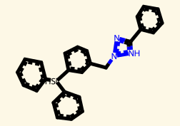 c1ccc(-c2nn(Cc3cccc([SiH](c4ccccc4)c4ccccc4)c3)[nH]2)cc1